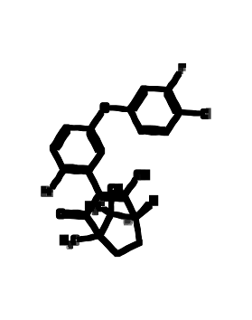 CCc1ccc(Oc2ccc(Cl)c(F)c2)cc1C1=C(O)[C@@H]2CCC(C)(C1=O)C2(C)C